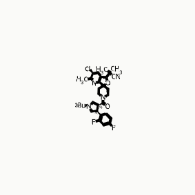 Cc1nc2c(cc1Cl)C(C(C)(C)C#N)OC21CCN(C(=O)[C@@H]2CN(C(C)(C)C)C[C@@H]2c2ccc(F)cc2F)CC1